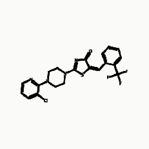 O=C1N=C(N2CCN(c3ncccc3Cl)CC2)S/C1=C/c1ccccc1C(F)(F)F